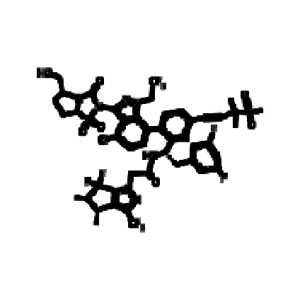 C[C@@H]1c2c(C(F)(F)F)nn(CC(=O)N[C@@H](Cc3cc(F)cc(F)c3)c3nc(C#CC(C)(C)S(C)(=O)=O)ccc3-c3ccc(Cl)c4c(N5C(=O)N6C(CC[C@H]6CO)S5(=O)=O)nn(CC(F)(F)F)c34)c2C(F)(F)[C@@H]1C